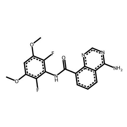 COc1cc(OC)c(F)c(NC(=O)c2cccc3c(N)ncnc23)c1F